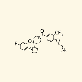 CN(C)CCOc1ccc(C(=O)N2CCC3(CC2)Oc2cc(F)ccc2-n2cccc23)cc1C(F)(F)F